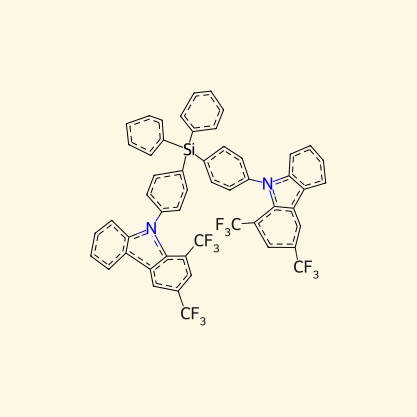 FC(F)(F)c1cc(C(F)(F)F)c2c(c1)c1ccccc1n2-c1ccc([Si](c2ccccc2)(c2ccccc2)c2ccc(-n3c4ccccc4c4cc(C(F)(F)F)cc(C(F)(F)F)c43)cc2)cc1